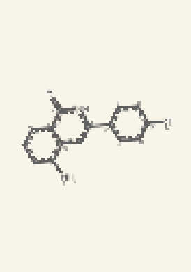 Nc1cccc2c(=O)[nH]c(-c3ccc(Cl)cc3)cc12